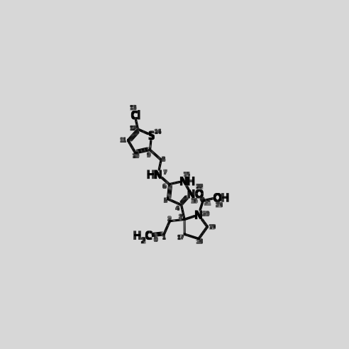 C=CCC1(c2cc(NCc3ccc(Cl)s3)[nH]n2)CCCN1C(=O)O